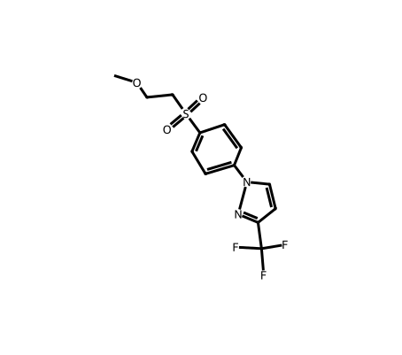 COCCS(=O)(=O)c1ccc(-n2ccc(C(F)(F)F)n2)cc1